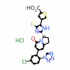 Cl.O=C(O)c1cc(-c2[nH]c([C@@H]3CCc4cc(-c5cc(Cl)ccc5-n5cnnn5)cc(=O)n43)nc2F)cs1